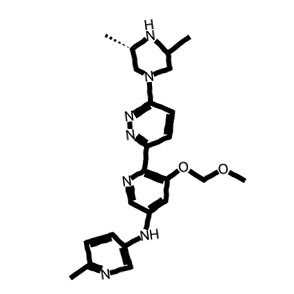 COCOc1cc(Nc2ccc(C)nc2)cnc1-c1ccc(N2CC(C)N[C@@H](C)C2)nn1